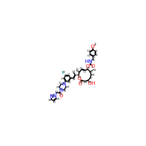 COc1ccc(CNC(=O)O[C@H]2/C=C/[C@H](C)[C@@H](/C(C)=C/c3cc(F)cc(N4CCN(C(=O)Cn5cccn5)CC4)c3)OC(=O)C[C@H](O)CC[C@@H]2C)cc1